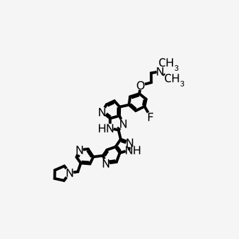 CN(C)CCOc1cc(F)cc(-c2ccnc3[nH]c(-c4n[nH]c5cnc(-c6cncc(CN7CCCC7)c6)cc45)nc23)c1